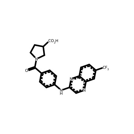 O=C(O)C1CCN(C(=O)c2ccc(Nc3cnc4cc(C(F)(F)F)ccc4n3)cc2)C1